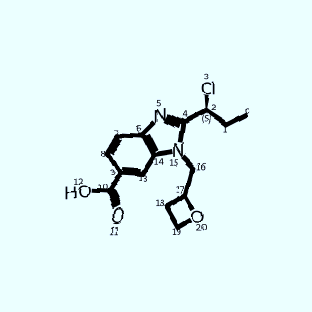 CC[C@H](Cl)c1nc2ccc(C(=O)O)cc2n1CC1CCO1